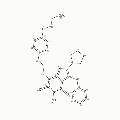 CCCn1c(=O)c2c(nc(C3CCCC3)n2Cc2ccccc2)n(CCCc2ccc(OCCOC(C)=O)cc2)c1=O